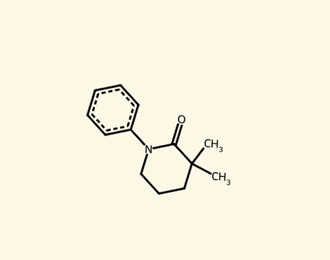 CC1(C)CCCN(c2ccccc2)C1=O